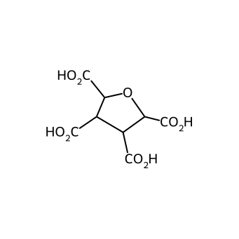 O=C(O)C1OC(C(=O)O)C(C(=O)O)C1C(=O)O